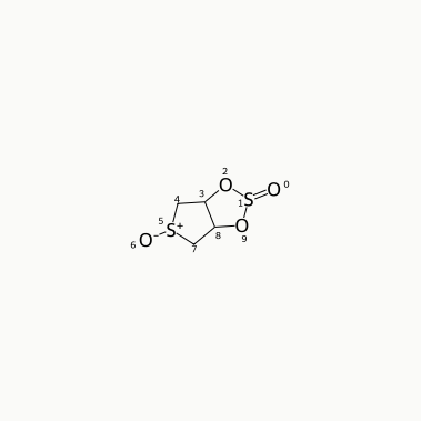 O=S1OC2C[S+]([O-])CC2O1